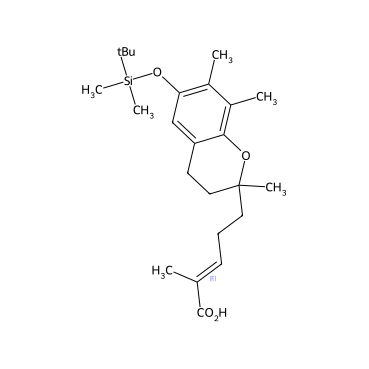 C/C(=C\CCC1(C)CCc2cc(O[Si](C)(C)C(C)(C)C)c(C)c(C)c2O1)C(=O)O